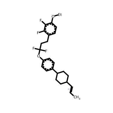 C/C=C/C1CCC(c2ccc(OC(F)(F)CCc3ccc(OCC)c(F)c3F)cc2)CC1